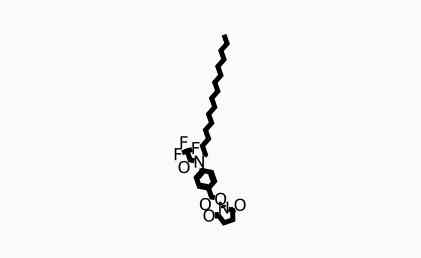 CCCCCCCCCCCCCCCCN(C(=O)C(F)(F)F)c1ccc(C(=O)ON2C(=O)CCC2=O)cc1